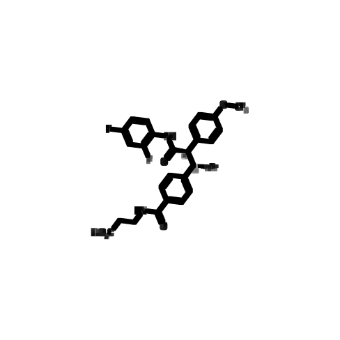 CCC[C@H](c1ccc(C(=O)NCCC(=O)OCC)cc1)[C@@H](C(=O)Nc1ccc(F)cc1F)c1ccc(OC(F)(F)F)cc1